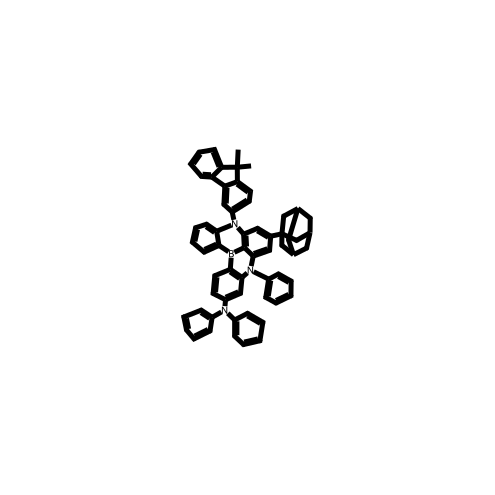 CC1(C)c2ccccc2-c2cc(N3c4ccccc4B4c5ccc(N(c6ccccc6)c6ccccc6)cc5N(c5ccccc5)c5cc(C67CC8CC(CC(C8)C6)C7)cc3c54)ccc21